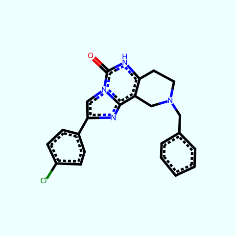 O=c1[nH]c2c(c3nc(-c4ccc(Cl)cc4)cn13)CN(Cc1ccccc1)CC2